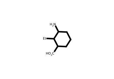 CCC1C(N)CCCC1C(=O)O